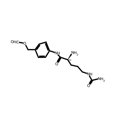 NC(=O)NCCC[C@H](N)C(=O)Nc1ccc(COC=O)cc1